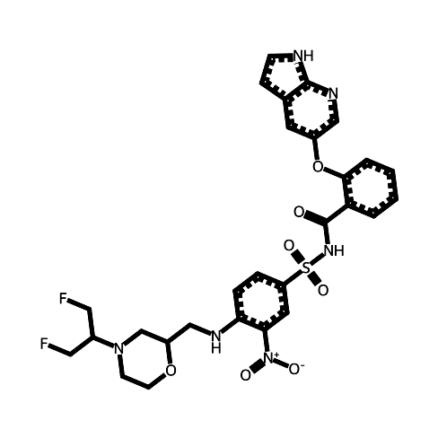 O=C(NS(=O)(=O)c1ccc(NCC2CN(C(CF)CF)CCO2)c([N+](=O)[O-])c1)c1ccccc1Oc1cnc2[nH]ccc2c1